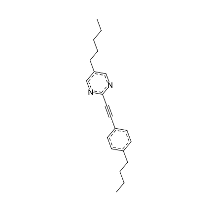 CCCCCc1cnc(C#Cc2ccc(CCCC)cc2)nc1